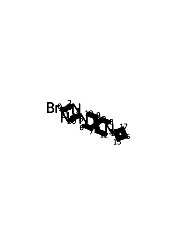 Brc1cnc(N2CCC3(CC2)CCN(C2CCC2)CC3)cn1